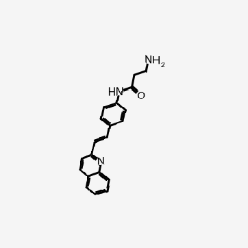 NCCC(=O)Nc1ccc(C=Cc2ccc3ccccc3n2)cc1